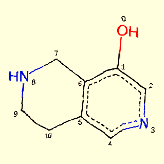 Oc1cncc2c1CNCC2